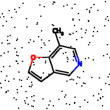 Cc1cncc2ccoc12